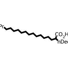 CCCCCCCCCCC(CCCCCCCCCCCCCC(C)C)C(=O)O